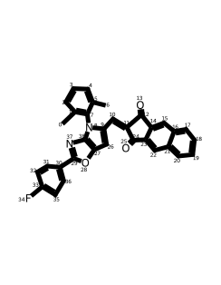 Cc1cccc(C)c1-n1c(C=C2C(=O)c3cc4ccccc4cc3C2=O)cc2oc(-c3ccc(F)cc3)nc21